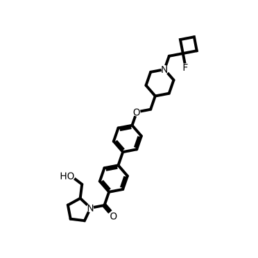 O=C(c1ccc(-c2ccc(OCC3CCN(CC4(F)CCC4)CC3)cc2)cc1)N1CCCC1CO